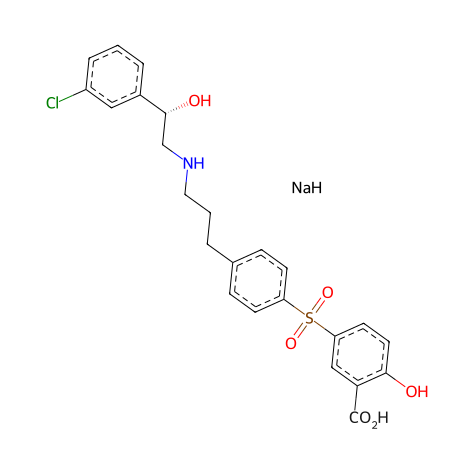 O=C(O)c1cc(S(=O)(=O)c2ccc(CCCNC[C@@H](O)c3cccc(Cl)c3)cc2)ccc1O.[NaH]